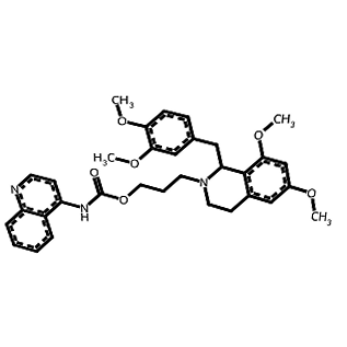 COc1cc2c(c(OC)c1)C(Cc1ccc(OC)c(OC)c1)N(CCCOC(=O)Nc1ccnc3ccccc13)CC2